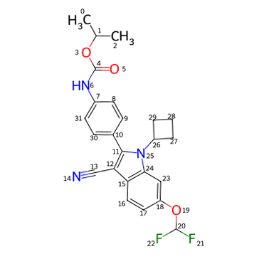 CC(C)OC(=O)Nc1ccc(-c2c(C#N)c3ccc(OC(F)F)cc3n2C2CCC2)cc1